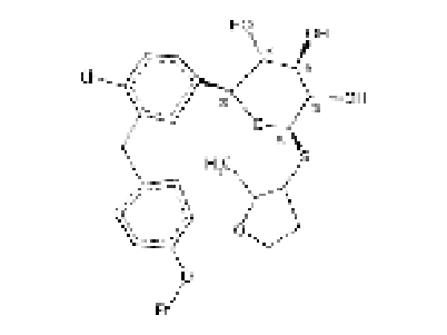 CCOc1ccc(Cc2cc([C@@H]3O[C@H](SC4CCOC4C)[C@@H](O)[C@H](O)[C@H]3O)ccc2Cl)cc1